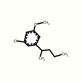 CCCC(C)c1cc(Cl)cc(OC)c1